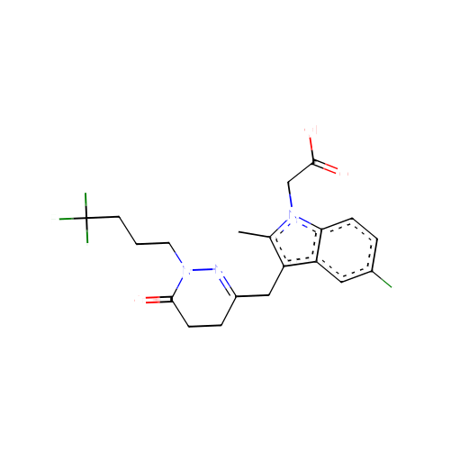 Cc1c(CC2=NN(CCCC(F)(F)F)C(=O)CC2)c2cc(F)ccc2n1CC(=O)O